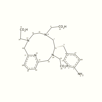 Nc1ccc(C[C@H]2CN(CC(=O)O)CCN(CC(=O)O)Cc3cccc(n3)CN2CC(=O)O)cc1